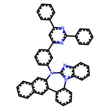 c1ccc(-c2cc(-c3cccc(N4c5cc6ccccc6cc5-c5ccccc5-n5c4nc4ccccc45)c3)nc(-c3ccccc3)n2)cc1